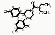 CCN(CC)C(=O)N1CCN(c2ccc(Cl)cc2Cl)C(c2ccc(Cl)cc2)C1